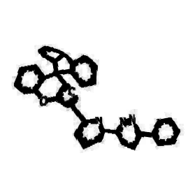 C1=CC2c3ccccc3C3(c4ccccc4Oc4cc(-c5cccc(-c6ccc(-c7ccccc7)nn6)n5)ccc43)C2C=C1